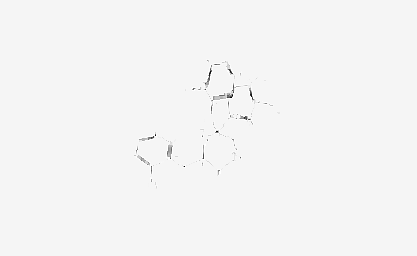 FC(F)(F)c1ccccc1CC1CNCC(Cc2ccccc2C(F)(F)F)(c2ccc(Cl)c(Cl)c2)N1